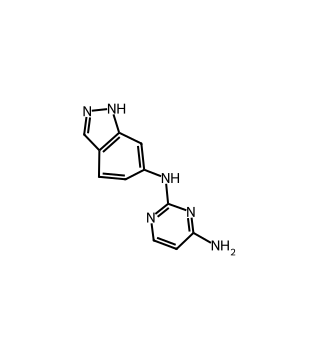 Nc1ccnc(Nc2ccc3cn[nH]c3c2)n1